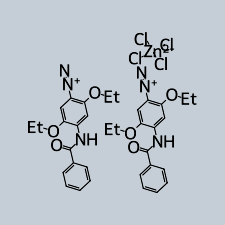 CCOc1cc(NC(=O)c2ccccc2)c(OCC)cc1[N+]#N.CCOc1cc(NC(=O)c2ccccc2)c(OCC)cc1[N+]#N.[Cl][Zn-2]([Cl])([Cl])[Cl]